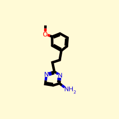 COc1cccc(CCc2nccc(N)n2)c1